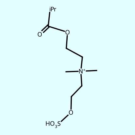 CC(C)C(=O)OCC[N+](C)(C)CCOS(=O)(=O)O